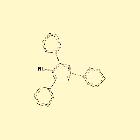 N#Cc1c(-c2ccccc2)cc(-c2ccccc2)cc1-c1ccccc1